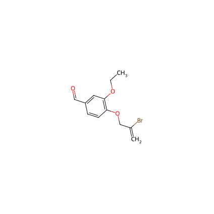 C=C(Br)COc1ccc(C=O)cc1OCC